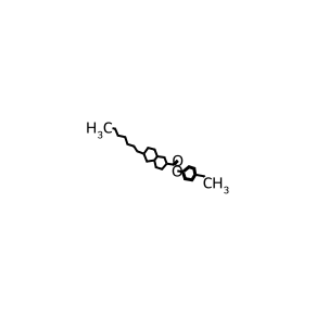 CCCCCCCC1CCC2CC(C(=O)Oc3ccc(CC)cc3)CCC2C1